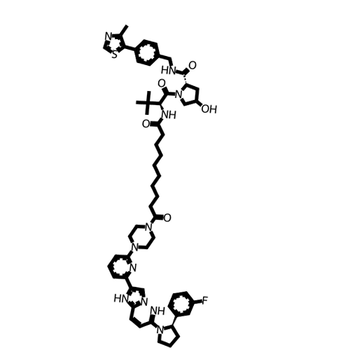 Cc1ncsc1-c1ccc(CNC(=O)[C@@H]2CC(O)CN2C(=O)[C@@H](NC(=O)CCCCCCCCC(=O)N2CCN(c3cccc(-c4cnc(/C=C\C(=N)N5CCC[C@@H]5c5cccc(F)c5)[nH]4)n3)CC2)C(C)(C)C)cc1